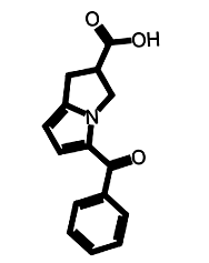 O=C(c1ccccc1)c1ccc2n1CC(C(=O)O)C2